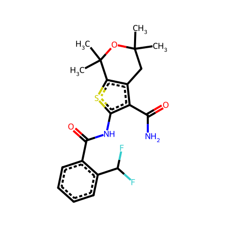 CC1(C)Cc2c(sc(NC(=O)c3ccccc3C(F)F)c2C(N)=O)C(C)(C)O1